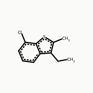 CCc1c(C)sc2c(Cl)cccc12